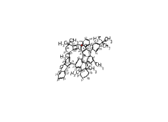 Cc1cc2c3c(c1)N1c4c5cc(cc4C4(C)CCCCC14C)-c1cc(cc4oc6ccccc6c14)C1(C)CCC(C)(C)c4cc6oc(c(c6cc41)B53)N2c1ccc(C(C)(C)C)cc1-c1ccccc1